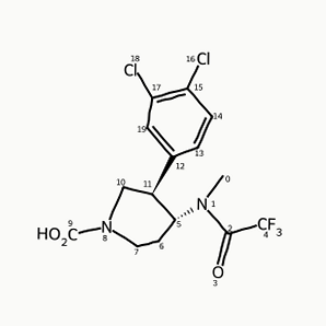 CN(C(=O)C(F)(F)F)[C@@H]1CCN(C(=O)O)C[C@H]1c1ccc(Cl)c(Cl)c1